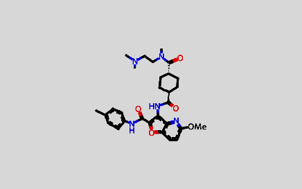 COc1ccc2oc(C(=O)Nc3ccc(C)cc3)c(NC(=O)[C@H]3CC[C@H](C(=O)N(C)CCN(C)C)CC3)c2n1